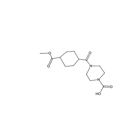 COC(=O)C1CCC(C(=O)N2CCN(C(=O)O)CC2)CC1